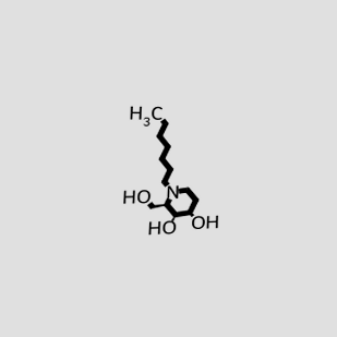 CCCCCCCN1CC[C@@H](O)[C@H](O)[C@H]1CO